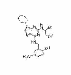 CCC(CO)Nc1nc(NCc2cc(N)ccc2O)c2ncn(C3CCCCC3)c2n1